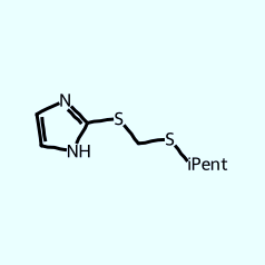 CCCC(C)SCSc1ncc[nH]1